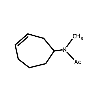 CC(=O)N(C)C1CC=CCCC1